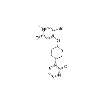 Cn1cc(Br)c(OC2CCC(n3cccnc3=O)CC2)cc1=O